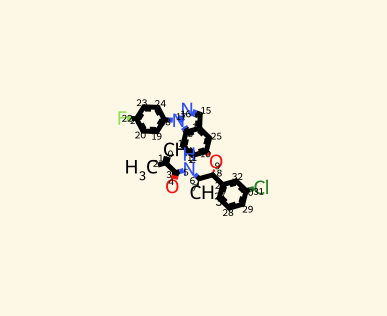 C=C(C)C(=O)N[C@@H](C)[C@H](Oc1ccc2c(cnn2-c2ccc(F)cc2)c1)c1cccc(Cl)c1